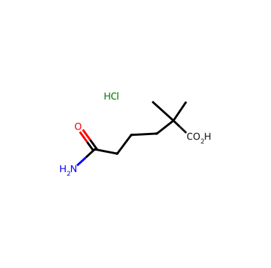 CC(C)(CCCC(N)=O)C(=O)O.Cl